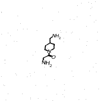 NCC(=O)N1CCC(CN)CC1